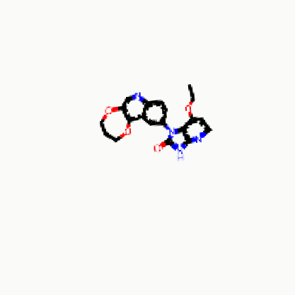 CCOc1ccnc2[nH]c(=O)n(-c3ccc4ncc5c(c4c3)OCCCO5)c12